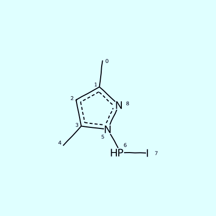 Cc1cc(C)n(PI)n1